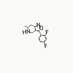 CC1Cc2noc(-c3ccc(F)cc3F)c2CN1